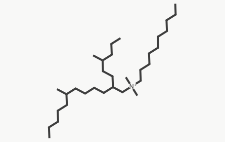 CCCCCCCCCC[N+](C)(C)CC(CCCCC(C)CCCCC)CCC(C)CCC